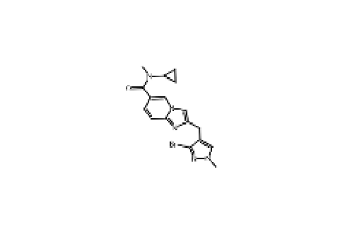 CN(C(=O)c1ccc2nc(Cc3cn(C)nc3Br)cn2c1)C1CC1